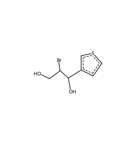 OCC(Br)C(O)c1ccsc1